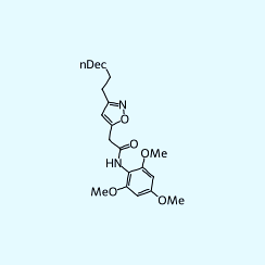 CCCCCCCCCCCCc1cc(CC(=O)Nc2c(OC)cc(OC)cc2OC)on1